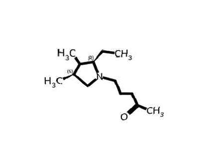 CC[C@@H]1C(C)[C@H](C)CN1CCCC(C)=O